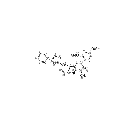 COc1ccc(-c2cc3c4cc(-c5nc(-c6ccccc6)no5)ccc4[nH]c3n(C)c2=O)c(OC)c1